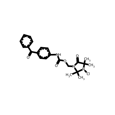 CC1(C)C(=O)N(COC(=O)Nc2ccc(C(=O)c3ccccc3)cc2)C(C)(C)N1Cl